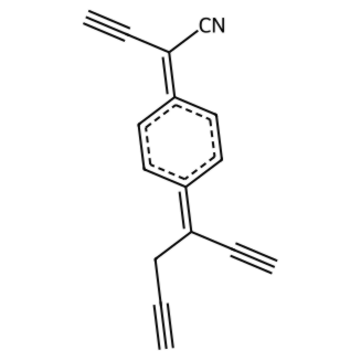 C#CCC(C#C)=c1ccc(=C(C#C)C#N)cc1